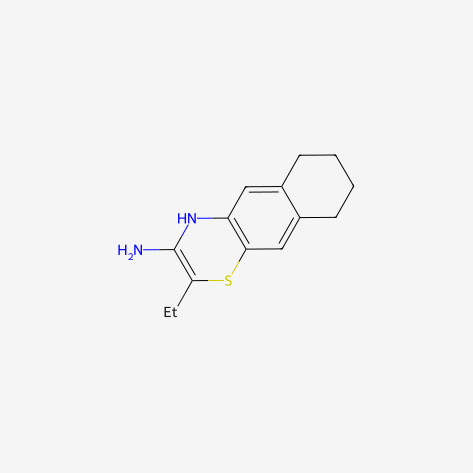 CCC1=C(N)Nc2cc3c(cc2S1)CCCC3